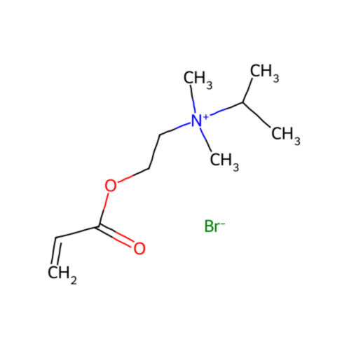 C=CC(=O)OCC[N+](C)(C)C(C)C.[Br-]